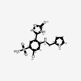 CS(=O)(=O)c1cc(-c2noc(=O)[nH]2)c(NCc2ccco2)cc1Cl